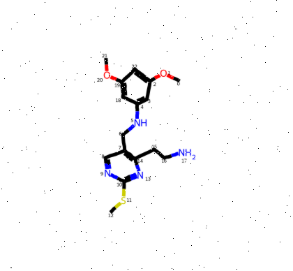 COc1cc(NCc2cnc(SC)nc2CCN)cc(OC)c1